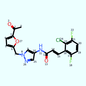 CC(=O)c1ccc(Cn2cc(NC(=O)C=Cc3c(F)ccc(F)c3Cl)cn2)o1